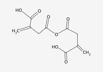 C=C(CC(=O)OC(=O)CC(=C)C(=O)O)C(=O)O